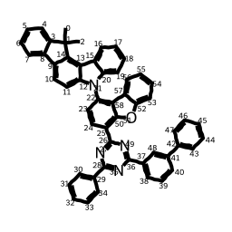 CC1(C)c2ccccc2-c2ccc3c(c21)c1ccccc1n3-c1ccc(-c2nc(-c3ccccc3)nc(-c3cccc(-c4ccccc4)c3)n2)c2oc3ccccc3c12